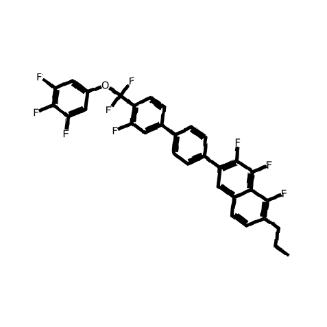 CCCc1ccc2cc(-c3ccc(-c4ccc(C(F)(F)Oc5cc(F)c(F)c(F)c5)c(F)c4)cc3)c(F)c(F)c2c1F